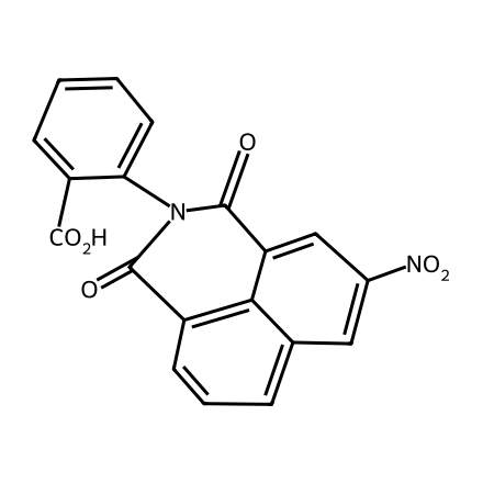 O=C(O)c1ccccc1N1C(=O)c2cccc3cc([N+](=O)[O-])cc(c23)C1=O